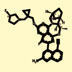 C#Cc1cccc2cc(N)cc(-c3nc4c5c(nc(OCC6(CN7CC[C@@H](F)C7)CC6)nc5c3F)N3C[C@H]5CC[C@H](N5)[C@H]3[C@H](C)O4)c12